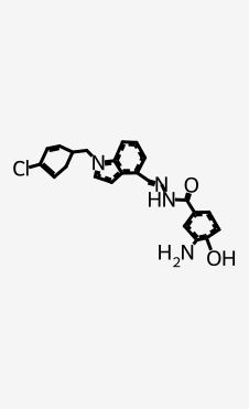 Nc1cc(C(=O)N/N=C/c2cccc3c2ccn3CC2C=CC(Cl)=CC2)ccc1O